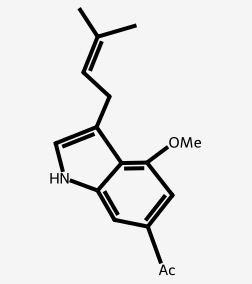 COc1cc(C(C)=O)cc2[nH]cc(CC=C(C)C)c12